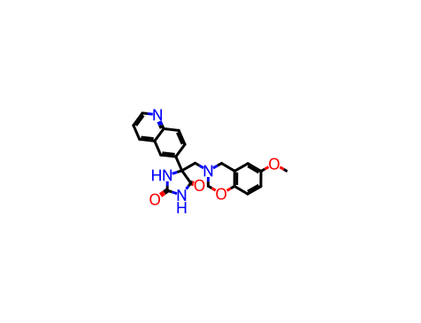 COc1ccc2c(c1)CN(CC1(c3ccc4ncccc4c3)NC(=O)NC1=O)CO2